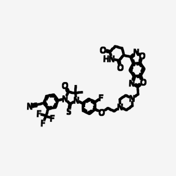 CC1(C)C(=O)N(c2ccc(C#N)c(C(F)(F)F)c2)C(=S)N1c1ccc(OCCN2CCN(Cc3nc4cc5c(C6CCC(=O)NC6=O)noc5cc4o3)CC2)c(F)c1